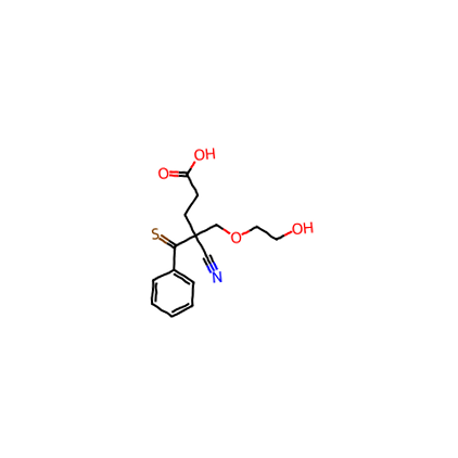 N#CC(CCC(=O)O)(COCCO)C(=S)c1ccccc1